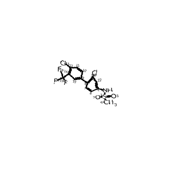 CS(=O)(=O)Nc1ccc(-c2ccc(Cl)c(C(F)(F)F)c2)c(Cl)c1